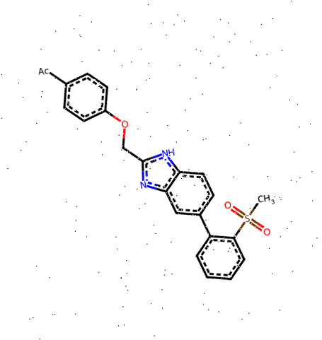 CC(=O)c1ccc(OCc2nc3cc(-c4ccccc4S(C)(=O)=O)ccc3[nH]2)cc1